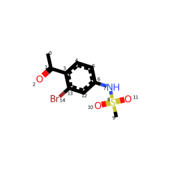 CC(=O)c1ccc(NS(C)(=O)=O)cc1Br